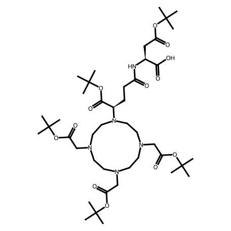 CC(C)(C)OC(=O)C[C@H](NC(=O)CC[C@H](C(=O)OC(C)(C)C)N1CCN(CC(=O)OC(C)(C)C)CCN(CC(=O)OC(C)(C)C)CCN(CC(=O)OC(C)(C)C)CC1)C(=O)O